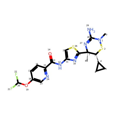 CN1S[C@H](C2CC2)[C@@](C)(c2nc(NC(=O)c3ccc(OC(F)F)cn3)cs2)N=C1N